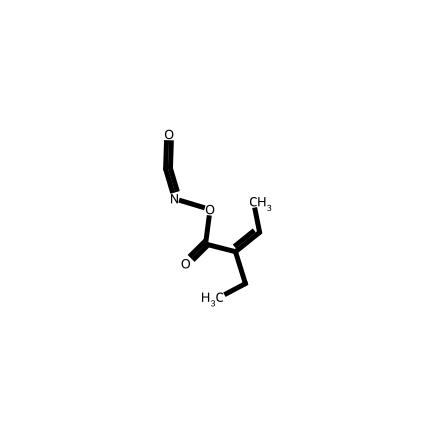 CC=C(CC)C(=O)ON=C=O